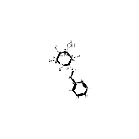 C[C@@H]1[C@H](O)[C@H](C)[C@H](CCc2ccccc2)O[C@@H]1C